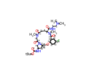 CN(C)CCNC(=O)[C@@H]1CCC(=O)N(C)CC(=O)N2C[C@H](NC(=O)OC(C)(C)C)C[C@H]2COc2ccc(F)cc2C(=O)N1C